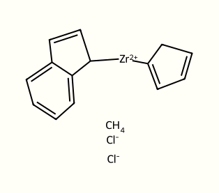 C.C1=CC[C]([Zr+2][CH]2C=Cc3ccccc32)=C1.[Cl-].[Cl-]